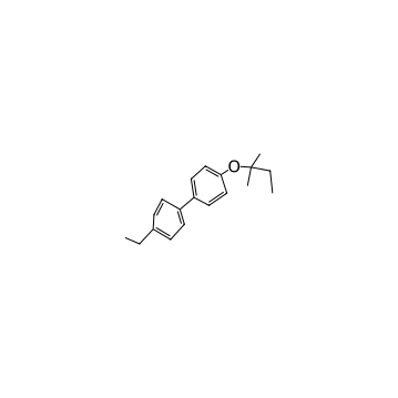 CCc1ccc(-c2ccc(OC(C)(C)CC)cc2)cc1